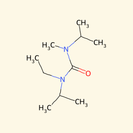 CCN(C(=O)N(C)C(C)C)C(C)C